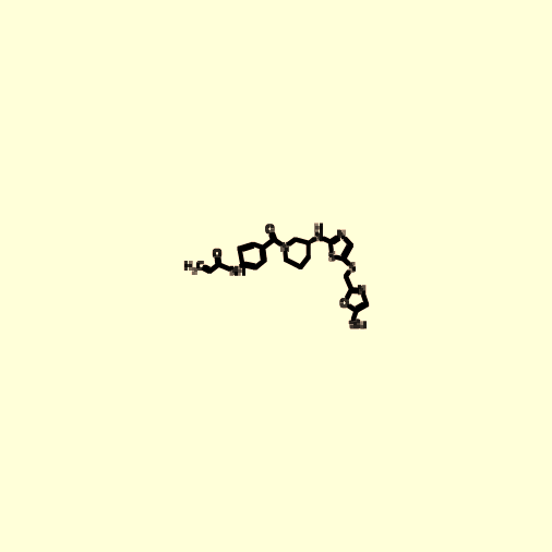 C=CC(=O)Nc1ccc(C(=O)N2CCC[C@H](Nc3ncc(SCc4ncc(C(C)(C)C)o4)s3)C2)cc1